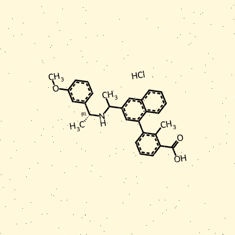 COc1cccc([C@@H](C)NC(C)c2cc(-c3cccc(C(=O)O)c3C)c3ccccc3c2)c1.Cl